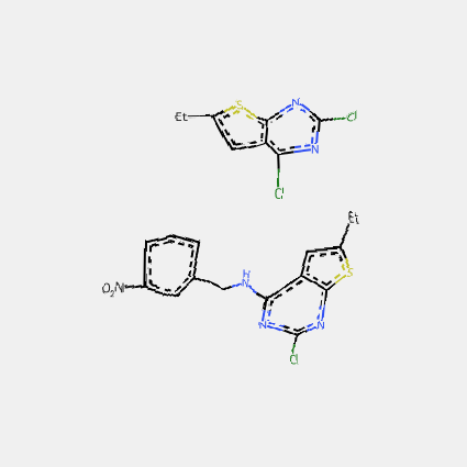 CCc1cc2c(Cl)nc(Cl)nc2s1.CCc1cc2c(NCc3cccc([N+](=O)[O-])c3)nc(Cl)nc2s1